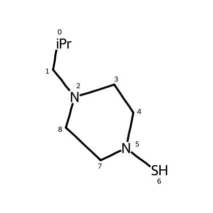 CC(C)CN1CCN(S)CC1